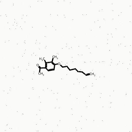 C=CCCCCCCOc1ccc(C(C)=O)c(C)c1C